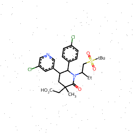 CCC(CS(=O)(=O)C(C)(C)C)N1C(=O)C(C)(CC(=O)O)CC(c2cncc(Cl)c2)C1c1ccc(Cl)cc1